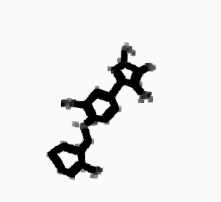 Cc1cc(-c2nn(C)c(Cl)c2C)ccc1OCc1ccccc1Br